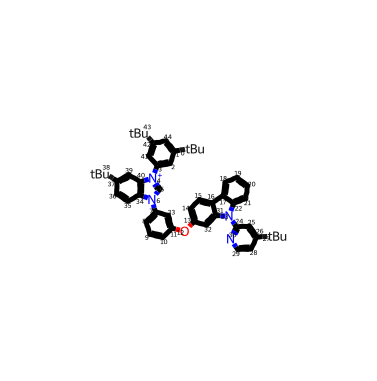 CC(C)(C)c1cc(-[n+]2cn(-c3cccc(Oc4ccc5c6ccccc6n(-c6cc(C(C)(C)C)ccn6)c5c4)c3)c3ccc(C(C)(C)C)cc32)cc(C(C)(C)C)c1